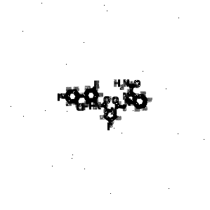 NC(=O)c1nn(CC(=O)N2C[C@H](F)C[C@H]2C(=O)Nc2cc(F)cc(-c3ccc(F)cc3Cl)c2F)c2ccccc12